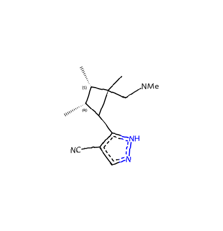 CNCC1(C)C(c2[nH]ncc2C#N)[C@H](C)[C@@H]1C